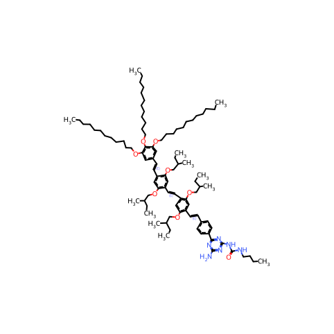 CCCCCCCCCCCCOc1cc(/C=C/c2cc(OCC(C)CC)c(/C=C/c3cc(OCC(C)CC)c(/C=C/c4ccc(-c5nc(N)nc(NC(=O)NCCCC)n5)cc4)cc3OCC(C)CC)cc2OCC(C)CC)cc(OCCCCCCCCCCCC)c1OCCCCCCCCCCCC